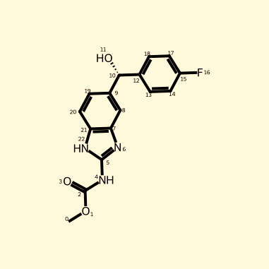 COC(=O)Nc1nc2cc([C@H](O)c3ccc(F)cc3)ccc2[nH]1